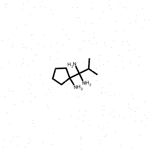 CC(C)C(N)(N)C1(N)CCCC1